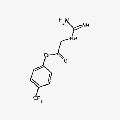 N=C(N)NCC(=O)Oc1ccc(C(F)(F)F)cc1